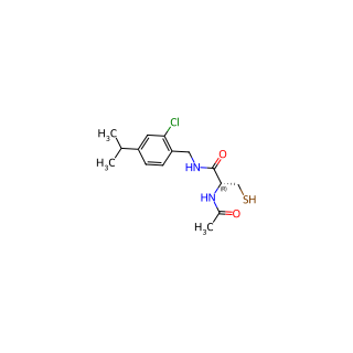 CC(=O)N[C@@H](CS)C(=O)NCc1ccc(C(C)C)cc1Cl